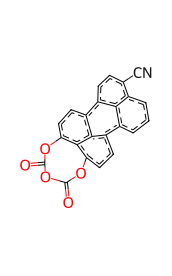 N#Cc1ccc2c3ccc4c5c(ccc(c6cccc1c62)c53)OC(=O)OC(=O)O4